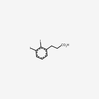 O=C(O)CCc1cccc(I)c1I